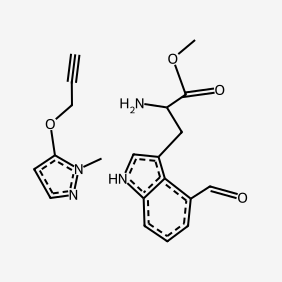 C#CCOc1ccnn1C.COC(=O)C(N)Cc1c[nH]c2cccc(C=O)c12